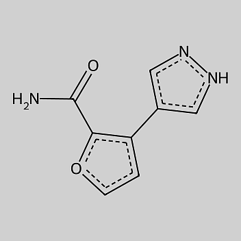 NC(=O)c1occc1-c1cn[nH]c1